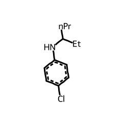 CCCC(CC)Nc1ccc(Cl)cc1